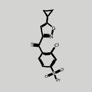 CC(C)S(=O)(=O)c1ccc(C(=O)c2cc(C3CC3)on2)c(Cl)c1